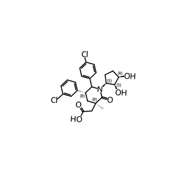 C[C@]1(CC(=O)O)C[C@H](c2cccc(Cl)c2)C(c2ccc(Cl)cc2)N([C@H]2CC[C@@H](O)[C@H]2O)C1=O